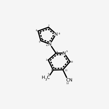 Cc1cc(-n2cccn2)ncc1C#N